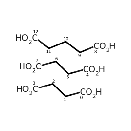 O=C(O)CCC(=O)O.O=C(O)CCC(=O)O.O=C(O)CCCC(=O)O